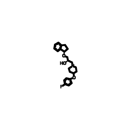 O[C@H](CO[C@H]1CCc2ccccc21)CN1CCC(Oc2ccc(F)cc2)CC1